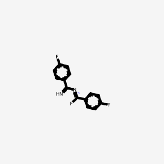 N=C(/N=C(\F)c1ccc(F)cc1)c1ccc(F)cc1